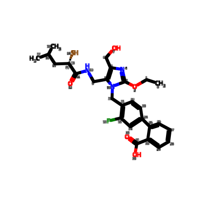 CCOc1nc(CO)c(CNC(=O)[C@@H](S)CC(C)C)n1Cc1ccc(-c2ccccc2C(=O)O)cc1F